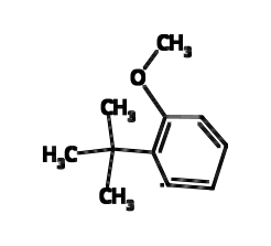 COc1ccc[c]c1C(C)(C)C